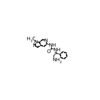 Cn1ncc2cc(NC(=O)N[C@H](CN)c3ccccc3)ncc21